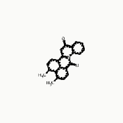 Cc1ccc2c(=O)n3c4ccccc4c(=O)cc3c3ccc(C)c1c23